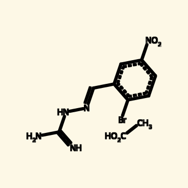 CC(=O)O.N=C(N)N/N=C/c1cc([N+](=O)[O-])ccc1Br